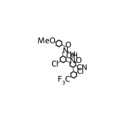 COc1ccc(C(=O)N(C)Cc2cc(Cl)cc(-c3cc(-c4cc(C(F)(F)F)ccc4Cl)c(C#N)c(=O)[nH]3)c2O)cc1